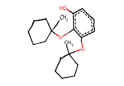 CC1(Oc2cccc(O)c2OC2(C)CCCCC2)CCCCC1